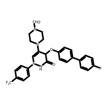 O=CN1CCN(C2=CN(c3ccc(C(F)(F)F)cc3)NC(=O)C2Oc2ccc(-c3ccc(F)cc3)cc2)CC1